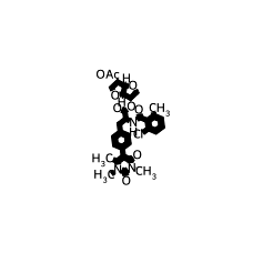 CC(=O)O[C@H]1CO[C@H]2[C@@H]1OC[C@@H]2OC(=O)C(Cc1ccc(-c2c(C)n(C)c(=O)n(C)c2=O)cc1)NC(=O)c1c(C)cccc1Cl